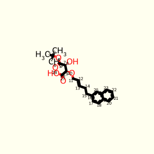 CC(C)(C)OC(=O)[C@H](O)[C@@H](OC/C=C/CCc1ccc2ccccc2c1)C(=O)O